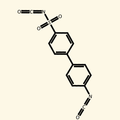 O=C=Nc1ccc(-c2ccc(S(=O)(=O)N=C=O)cc2)cc1